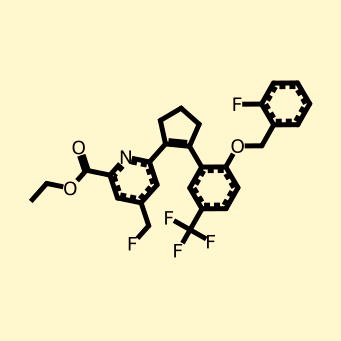 CCOC(=O)c1cc(CF)cc(C2=C(c3cc(C(F)(F)F)ccc3OCc3ccccc3F)CCC2)n1